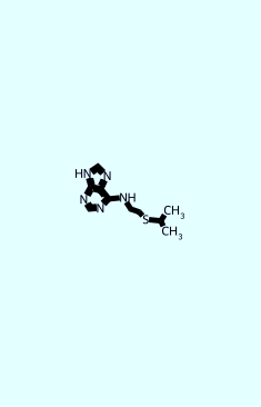 CC(C)SCCNc1ncnc2[nH]cnc12